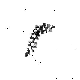 C=CCC[C@H]1CC[C@H](c2ccc(OC(F)(F)c3ccc(CCC)cc3)cc2)CC1